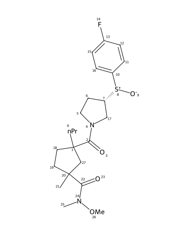 CCCC1(C(=O)N2CC[C@H]([S+]([O-])c3ccc(F)cc3)C2)CCC(C)(C(=O)N(C)OC)C1